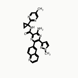 Cc1cnc(C2(NC(=O)c3nc(-c4ccc5ncccc5c4)c(-c4ccn(C)n4)nc3N)CC2)nc1